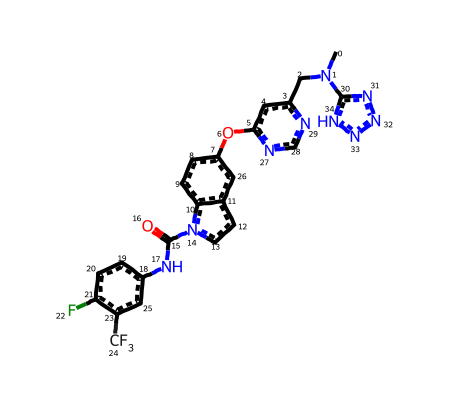 CN(Cc1cc(Oc2ccc3c(ccn3C(=O)Nc3ccc(F)c(C(F)(F)F)c3)c2)ncn1)c1nnn[nH]1